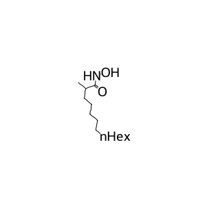 CCCCCCCCCCCC(C)C(=O)NO